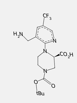 CC(C)(C)OC(=O)N1CCN(c2ncc(C(F)(F)F)cc2CN)[C@@H](C(=O)O)C1